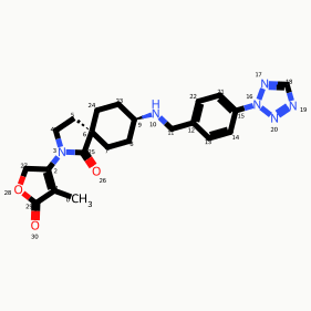 CC1=C(N2CC[C@]3(CC[C@H](NCc4ccc(-n5ncnn5)cc4)CC3)C2=O)COC1=O